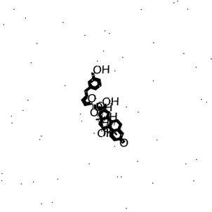 C[C@]12C=CC(=O)C=C1CC[C@@H]1[C@@H]2[C@@H](O)C[C@@]2(C)[C@H]1C[C@H]1O[C@@H](c3ccc(Cc4cccc(CO)c4)o3)O[C@]12C(=O)CO